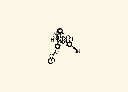 CC(C)(C)OC(=O)NC(C(=O)N[C@@H](Cc1ccccc1)C(=O)Nc1ccc(C#C[Si](C)(C)C)cc1Cl)c1ccc(OCCOC2CCCCO2)cc1